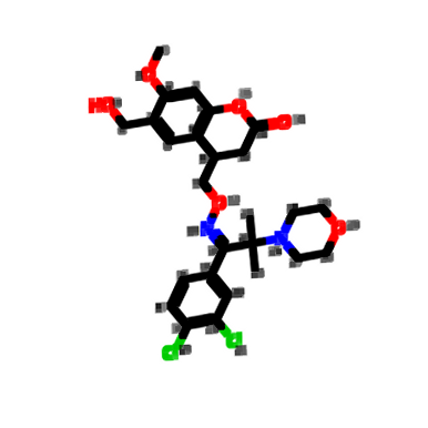 COc1cc2c(cc1CO)C(CON=C(c1ccc(Cl)c(Cl)c1)C(C)(C)N1CCOCC1)CC(=O)O2